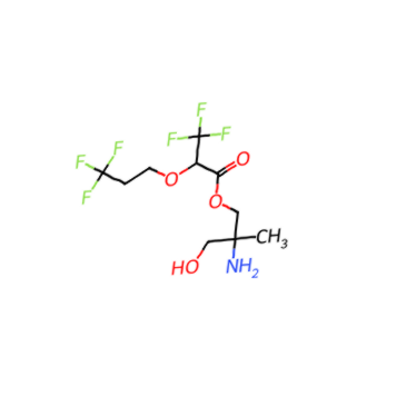 CC(N)(CO)COC(=O)C(OCCC(F)(F)F)C(F)(F)F